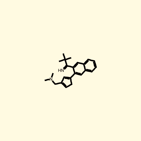 CN(C)CC1=CCC(c2cc3ccccc3cc2C(=N)C(C)(C)C)=C1